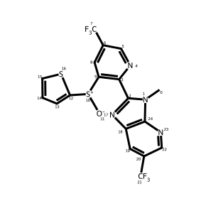 Cn1c(-c2ncc(C(F)(F)F)cc2[S+]([O-])c2cccs2)nc2cc(C(F)(F)F)cnc21